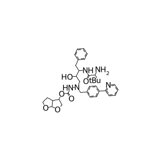 CC(C)(C)C(N)C(=O)NC(Cc1ccccc1)C(O)CN(Cc1ccc(-c2ccccn2)cc1)NC(=O)OC1COC2OCCC12